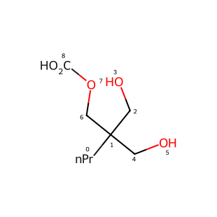 CCCC(CO)(CO)COC(=O)O